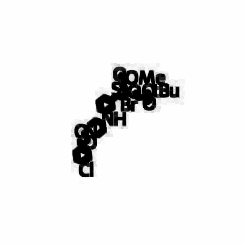 COC(=O)c1sc(-c2cccc(NC3CCN(S(=O)(=O)Cc4ccc(Cl)cc4)CC3)c2)c(Br)c1OCC(=O)OC(C)(C)C